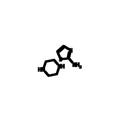 C1CNCCN1.Nc1nccs1